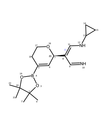 CC1(C)OB(C2=C[C@H](/C(C=N)=C/NC3CC3)OCC2)OC1(C)C